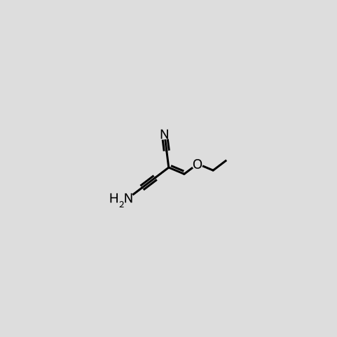 CCO/C=C(\C#N)C#CN